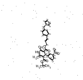 CC1=C(C(=O)OCC=Cc2ccc(Cn3ccnc3)cc2)C(c2cccc([N+](=O)[O-])c2)C(C(=O)OC(C)C)=C(C)N1